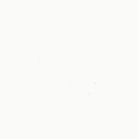 C=Cc1ccccc1OCC(C)(O)C(F)(F)F